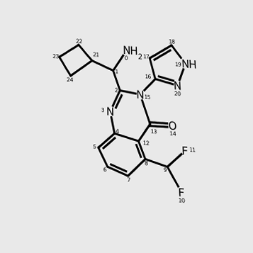 NC(c1nc2cccc(C(F)F)c2c(=O)n1-c1cc[nH]n1)C1CCC1